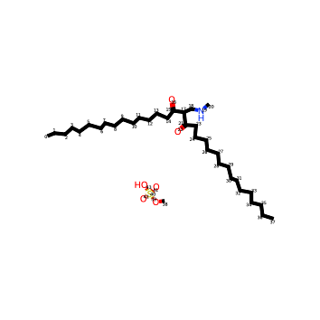 CCCCCCCCCCCCCCCC(=O)C(CNC)C(=O)CCCCCCCCCCCCCCC.COS(=O)(=O)O